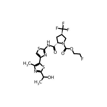 Cc1nc(C(C)O)sc1-c1csc(NC(=O)[C@@H]2C[C@@H](C(F)(F)F)CN2C(=O)OCCF)n1